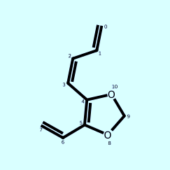 C=C/C=C\C1=C(C=C)OCO1